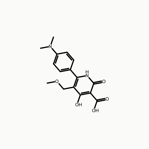 COCc1c(-c2ccc(N(C)C)cc2)[nH]c(=O)c(C(=O)O)c1O